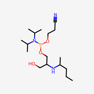 CCCC(C)NC(CO)COP(OCCC#N)N(C(C)C)C(C)C